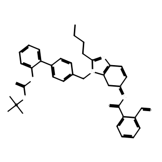 CCCCc1nc2c(n1Cc1ccc(-c3ccccc3OC(=O)OC(C)(C)C)cc1)CC(=NC(=O)c1ccccc1C=O)C=C2